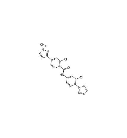 Cn1ccc(-c2ccc(C(=O)Nc3cnc(-n4nccn4)c(Cl)c3)c(Cl)c2)n1